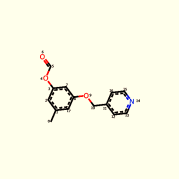 Cc1cc(OC=O)cc(OCc2ccncc2)c1